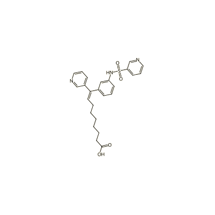 O=C(O)CCCCCCC=C(c1cccnc1)c1cccc(NS(=O)(=O)c2cccnc2)c1